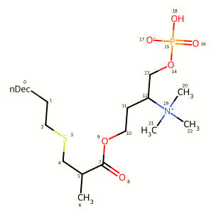 CCCCCCCCCCCCSCC(C)C(=O)OCCC(COP(=O)([O-])O)[N+](C)(C)C